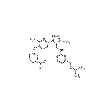 Cc1nc(-c2nnn(C)c2CNc2nccc(COC(C)C)n2)ccc1O[C@H]1CCC[C@H](C(=O)O)C1